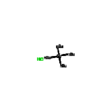 CCC[CH2][Sb]([CH2]CCC)([CH2]CCC)[CH2]CCC.Cl